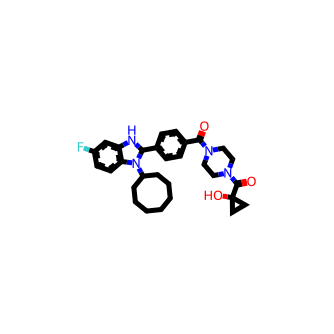 O=C(c1ccc(C2Nc3cc(F)ccc3N2C2CCCCCCC2)cc1)N1CCN(C(=O)C2(O)CC2)CC1